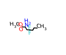 CCCCC(F)(F)CC(N)C(=O)OC